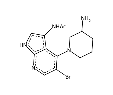 CC(=O)Nc1c[nH]c2ncc(Br)c(N3CCCC(N)C3)c12